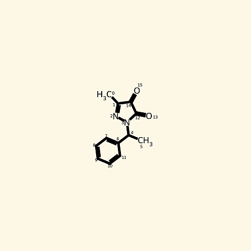 CC1=NN(C(C)c2ccccc2)C(=O)C1=O